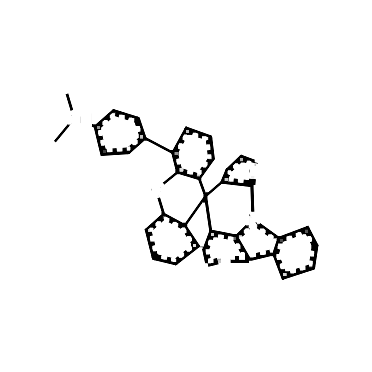 C[SiH](C)c1ccc(-c2cccc3c2Oc2ccccc2C32c3ccccc3-n3c4ccccc4c4cccc2c43)cc1